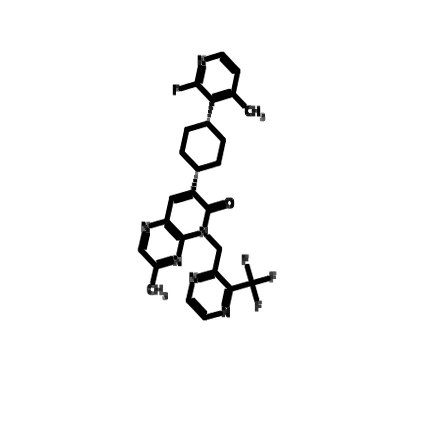 Cc1cnc2cc([C@H]3CC[C@@H](c4c(C)ccnc4F)CC3)c(=O)n(Cc3nccnc3C(F)(F)F)c2n1